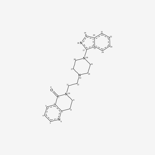 O=C1c2cccnc2CCN1CCN1CCN(c2nsc3ccccc23)CC1